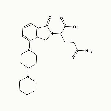 NC(=O)CCC(C(=O)O)N1Cc2c(cccc2N2CCC(N3CCCCC3)CC2)C1=O